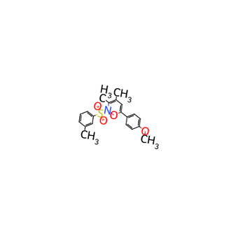 COc1ccc(C2=CC(C)=C(C)N(S(=O)(=O)c3cccc(C)c3)O2)cc1